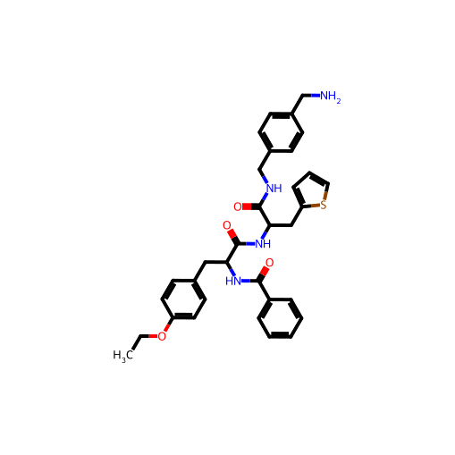 CCOc1ccc(CC(NC(=O)c2ccccc2)C(=O)NC(Cc2cccs2)C(=O)NCc2ccc(CN)cc2)cc1